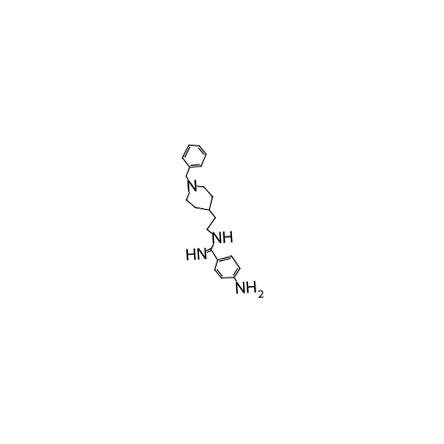 N=C(NCCC1CCN(Cc2ccccc2)CC1)c1ccc(N)cc1